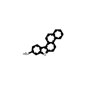 CCCCc1ccc2c(c1)oc1ccc3c4ccccc4ccc3c12